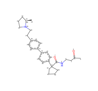 CC(=O)CCNC(=O)C1(c2ccc(-c3ccc(CCN4CCC[C@H]4C)cc3)cc2)CCCC1